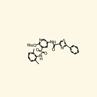 COc1ncc(NC(=O)c2csc(-c3ccccc3)n2)cc1S(=O)(=O)Nc1c(C)cccc1C